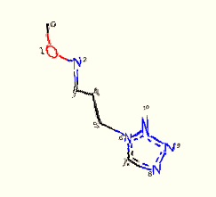 CO/N=C/CCn1[c]nnn1